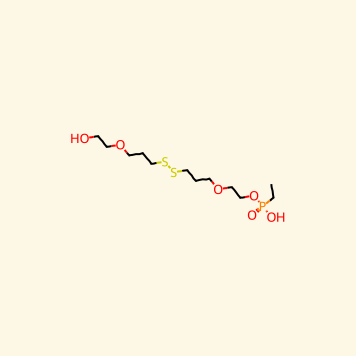 CCP(=O)(O)OCCOCCCSSCCCOCCO